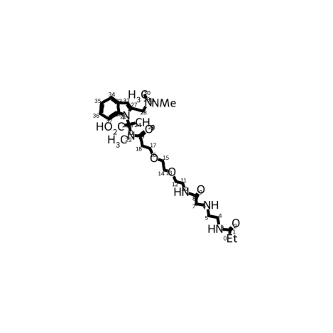 CCC(=O)NCCNCC(=O)NCCOCCOCCC(=O)N(C)C(C)(C(=O)O)n1c(CN(C)NC)cc2ccccc21